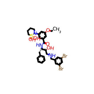 CCOc1cc(C(=O)N[C@@H](Cc2ccccc2)[C@H](O)CNCc2cc(Br)cc(Br)c2)cc(N2CCCCS2(O)O)c1